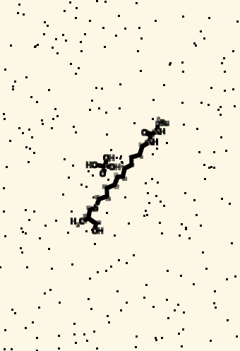 CCCCNC(=O)NCCCCCCCCCCCSCC(C)CO.O=P(O)(O)O